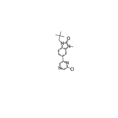 Cn1c(=O)n(CC(C)(C)C)c2ccc(-c3cncc(Cl)n3)cc21